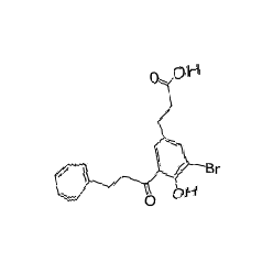 O=C(O)CCc1cc(Br)c(O)c(C(=O)CCc2ccccc2)c1